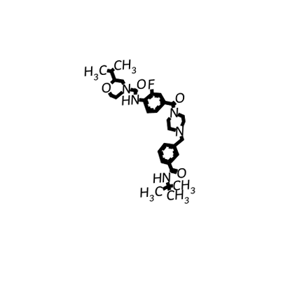 CC(C)C1CN(C(=O)Nc2ccc(C(=O)N3CCN(Cc4cccc(C(=O)NC(C)(C)C)c4)CC3)cc2F)CCO1